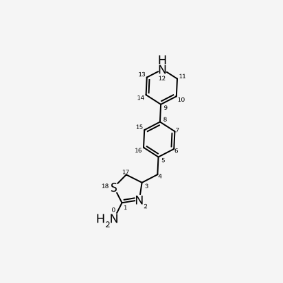 NC1=NC(Cc2ccc(C3=CCNC=C3)cc2)CS1